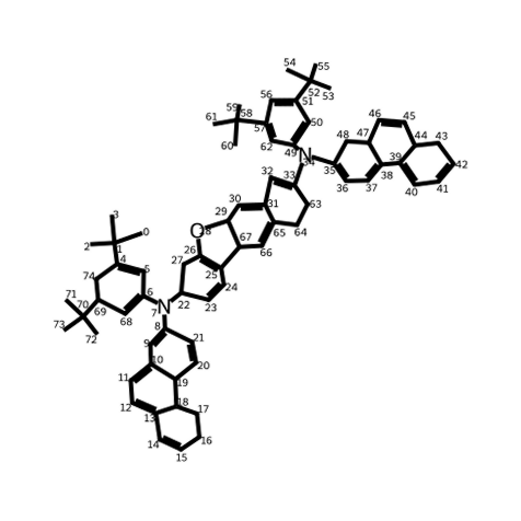 CC(C)(C)C1=CC(N(C2=CC3=CC=C4C=CCCC4C3C=C2)C2C=CC3=C(C2)OC2C=C4C=C(N(C5=CC=C6C7=CC=CCC7C=CC6C5)c5cc(C(C)(C)C)cc(C(C)(C)C)c5)CCC4=CC32)=CC(C(C)(C)C)C1